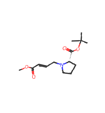 COC(=O)/C=C/CN1CCC[C@H]1C(=O)OC(C)(C)C